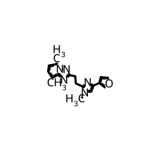 Cc1ccc(C)n2nc(CCc3nc(-c4ccoc4)cn3C)nc12